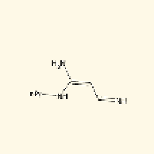 CCCN/C(N)=C\C=N